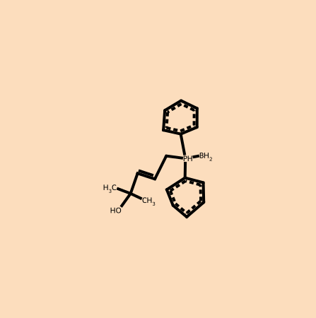 B[PH](C/C=C/C(C)(C)O)(c1ccccc1)c1ccccc1